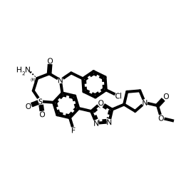 COC(=O)N1CCC(c2nnc(-c3cc4c(cc3F)S(=O)(=O)C[C@H](N)C(=O)N4Cc3ccc(Cl)cc3)o2)C1